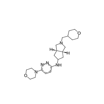 c1cc(N2CCOCC2)nnc1NC1C[C@@H]2CN(CC3CCOCC3)C[C@@H]2C1